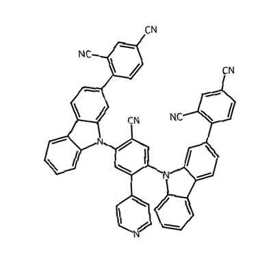 N#Cc1ccc(-c2ccc3c4ccccc4n(-c4cc(-c5ccncc5)c(-n5c6ccccc6c6ccc(-c7ccc(C#N)cc7C#N)cc65)cc4C#N)c3c2)c(C#N)c1